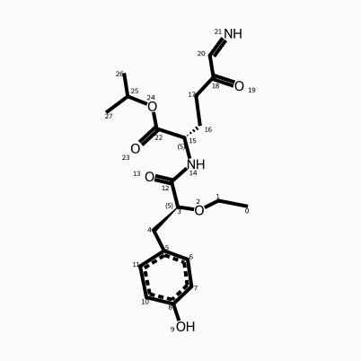 CCO[C@@H](Cc1ccc(O)cc1)C(=O)N[C@@H](CCC(=O)C=N)C(=O)OC(C)C